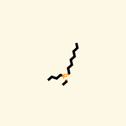 CCCCCCCCP(CC)CCCC